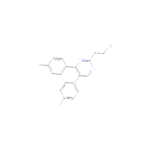 NCCc1ncc(-c2ccc(Cl)cc2)c(-c2ccc(Cl)cc2)n1